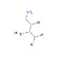 I.NCC(Br)C(Br)C(Br)Br